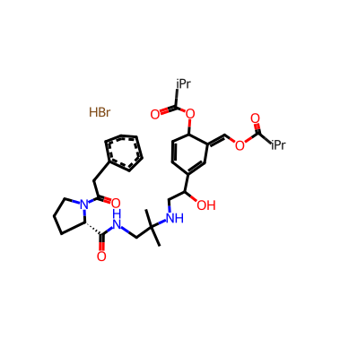 Br.CC(C)C(=O)OC=C1C=C(C(O)CNC(C)(C)CNC(=O)[C@@H]2CCCN2C(=O)Cc2ccccc2)C=CC1OC(=O)C(C)C